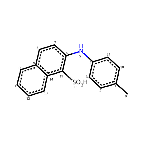 Cc1ccc(Nc2ccc3ccccc3c2S(=O)(=O)O)cc1